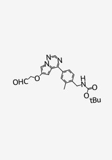 Cc1cc(-c2ncnn3cc(OCC=O)cc23)ccc1CNC(=O)OC(C)(C)C